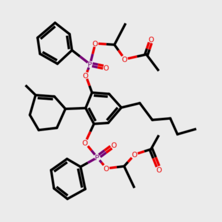 CCCCCc1cc(OP(=O)(OC(C)OC(C)=O)c2ccccc2)c(C2C=C(C)CCC2)c(OP(=O)(OC(C)OC(C)=O)c2ccccc2)c1